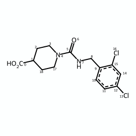 O=C(O)C1CCN(C(=O)NCc2ccc(Cl)cc2Cl)CC1